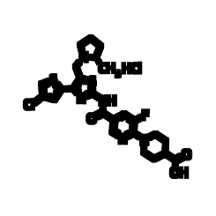 C[C@@H]1CCCN1Cc1sc(NC(=O)c2cnc(N3CCC(C(=O)O)CC3)c(F)c2)nc1-c1cc(Cl)cs1.Cl